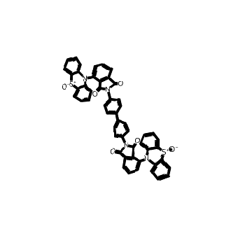 O=C1c2cccc(N3c4ccccc4[S+]([O-])c4ccccc43)c2C(=O)N1c1ccc(-c2ccc(N3C(=O)c4cccc(N5c6ccccc6[S+]([O-])c6ccccc65)c4C3=O)cc2)cc1